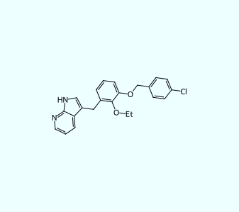 CCOc1c(Cc2c[nH]c3ncccc23)cccc1OCc1ccc(Cl)cc1